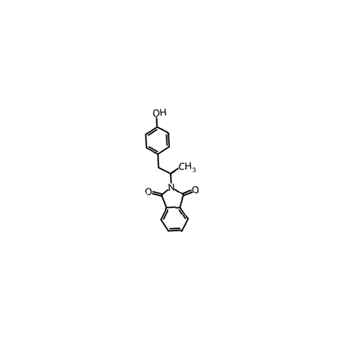 CC(Cc1ccc(O)cc1)N1C(=O)c2ccccc2C1=O